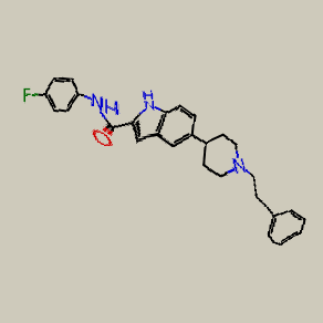 O=C(Nc1ccc(F)cc1)c1cc2cc(C3CCN(CCc4ccccc4)CC3)ccc2[nH]1